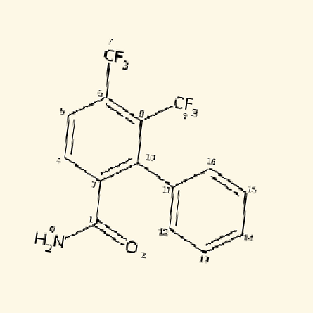 NC(=O)c1ccc(C(F)(F)F)c(C(F)(F)F)c1-c1ccccc1